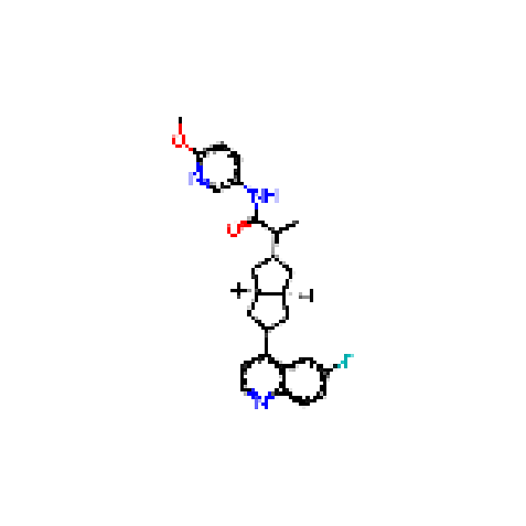 COc1ccc(NC(=O)C(C)[C@H]2C[C@H]3C[C@@H](c4ccnc5ccc(F)cc45)C[C@H]3C2)cn1